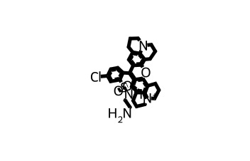 NCCNS(=O)(=O)c1cc(Cl)ccc1C1=c2cc3c4c(c2Oc2c1cc1c5c2CCCN5CCC1)CCC[N+]=4CCC3